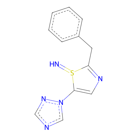 N=S1C(n2cncn2)=CN=C1Cc1ccccc1